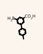 Bc1cc(C(=O)O)cc(-c2ccc(C)cc2)c1